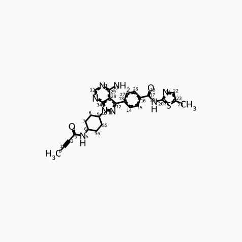 CC#CC(=O)NC1CCC(n2nc(-c3ccc(C(=O)Nc4ncc(C)s4)cc3)c3c(N)ncnc32)CC1